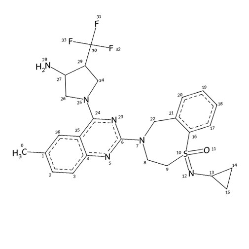 Cc1ccc2nc(N3CCS(=O)(=NC4CC4)c4ccccc4C3)nc(N3CC(N)C(C(F)(F)F)C3)c2c1